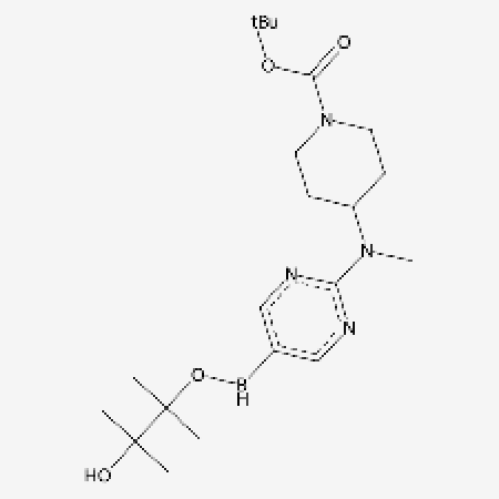 CN(c1ncc(BOC(C)(C)C(C)(C)O)cn1)C1CCN(C(=O)OC(C)(C)C)CC1